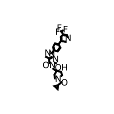 O=C(C1CC1)N1CCC(O)(Cn2cnc3c(cnn3-c3ccc(-c4cncc(C(F)(F)F)c4)cc3)c2=O)CC1